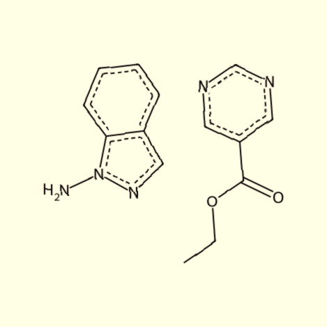 CCOC(=O)c1cncnc1.Nn1ncc2ccccc21